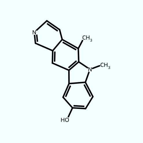 Cc1c2ccncc2cc2c3cc(O)ccc3n(C)c12